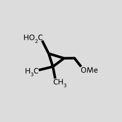 COCC1C(C(=O)O)C1(C)C